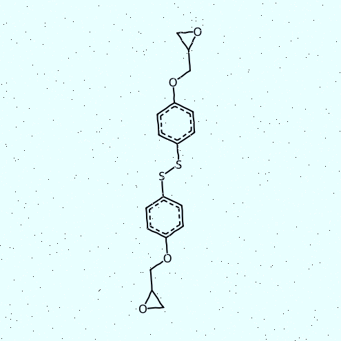 c1cc(SSc2ccc(OCC3CO3)cc2)ccc1OCC1CO1